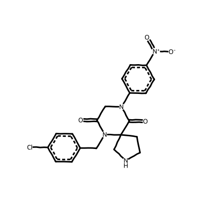 O=C1CN(c2ccc([N+](=O)[O-])cc2)C(=O)C2(CCNC2)N1Cc1ccc(Cl)cc1